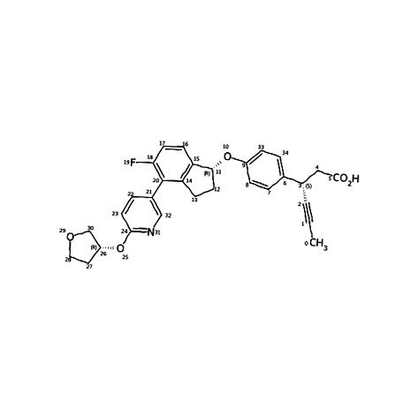 CC#C[C@@H](CC(=O)O)c1ccc(O[C@@H]2CCc3c2ccc(F)c3-c2ccc(O[C@@H]3CCOC3)nc2)cc1